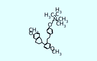 COc1ccc2c(c1)CCC(c1ccc(OC)cc1CCc1ccc(OCCN(C(C)C)C(C)C)cc1)C2